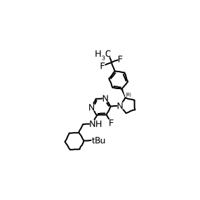 CC(F)(F)c1ccc([C@H]2CCCN2c2ncnc(NCC3CCCCC3C(C)(C)C)c2F)cc1